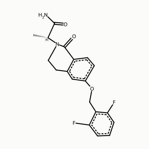 C[C@H](C(N)=O)N1CCc2cc(OCc3c(F)cccc3F)ccc2C1=O